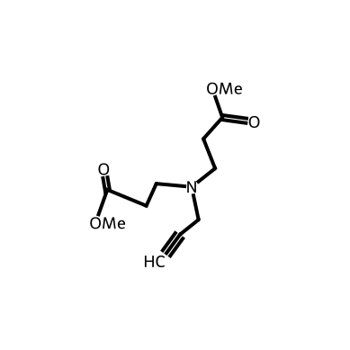 C#CCN(CCC(=O)OC)CCC(=O)OC